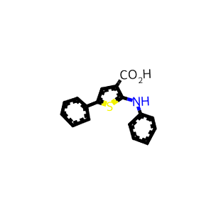 O=C(O)c1cc(-c2ccccc2)sc1Nc1ccccc1